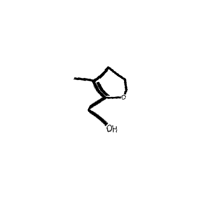 CC1=C(CO)OCC1